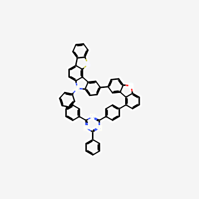 c1ccc(-c2nc(-c3ccccc3)nc(-c3ccc(-c4cccc5oc6ccc(-c7ccc8c(c7)c7c9sc%10ccccc%10c9ccc7n8-c7ccccc7)cc6c45)cc3)n2)cc1